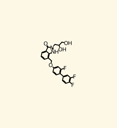 O=c1c2cccc(COc3ccc(-c4ccc(F)c(F)c4)c(F)c3)c2[nH]n1CC(O)CO